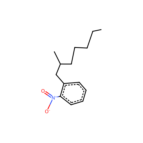 CCCCCC(C)Cc1ccccc1[N+](=O)[O-]